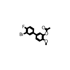 COc1ccc(-c2ccc(F)c(Br)c2)cc1OC(C)=O